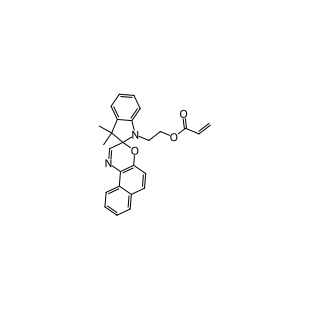 C=CC(=O)OCCN1c2ccccc2C(C)(C)C12C=Nc1c(ccc3ccccc13)O2